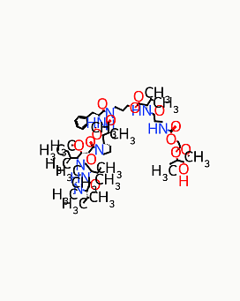 CCC(CO)OC(COC(=O)NCCC(=O)N[C@H](C(=O)OCCCNC(=O)[C@H](Cc1ccccc1)NC(=O)[C@H](C)[C@@H](OC)[C@@H]1CCCN1C(=O)C[C@@H](OC)[C@H]([C@@H](C)CC)N(C)C(=O)[C@@H](NC(=O)[C@H](C(C)C)N(C)C)C(C)C)C(C)C)OC